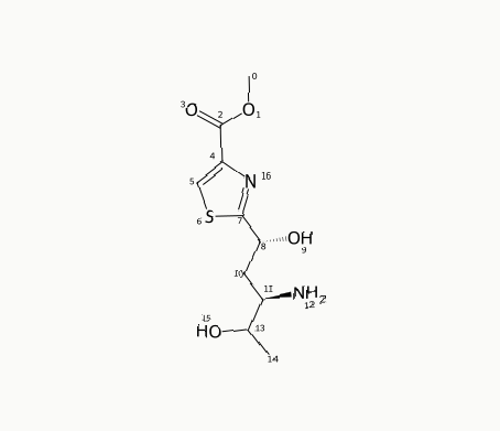 COC(=O)c1csc([C@H](O)C[C@@H](N)C(C)O)n1